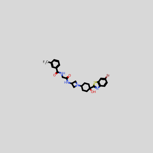 O=C(CNC(=O)c1cccc(C(F)(F)F)c1)NC1CN(C2CCC(O)(c3nc4ccc(Br)cc4s3)CC2)C1